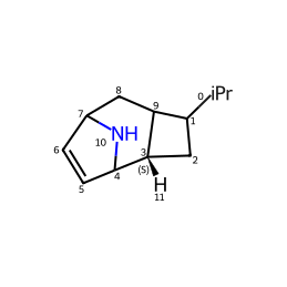 CC(C)C1C[C@@H]2C3C=CC(CC12)N3